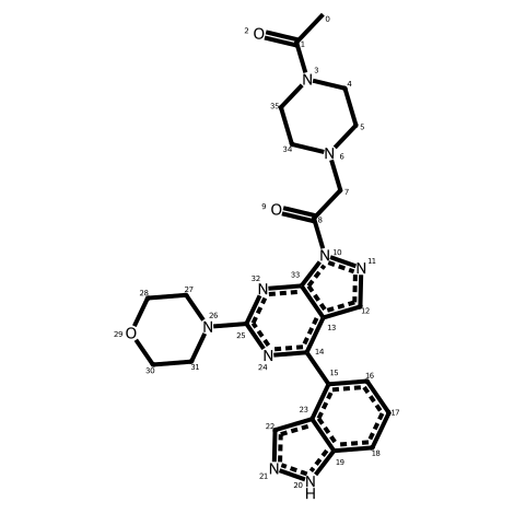 CC(=O)N1CCN(CC(=O)n2ncc3c(-c4cccc5[nH]ncc45)nc(N4CCOCC4)nc32)CC1